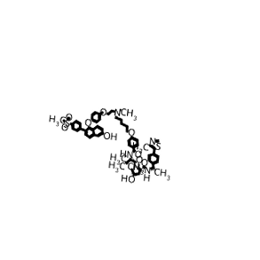 CCN(CCCCCOc1ccc(C(=O)N[C@H](C(=O)N2C[C@H](O)C[C@H]2C(=O)N[C@@H](C)c2ccc(-c3scnc3C)cc2)C(C)(C)C)cc1)CCOc1ccc(Oc2c(-c3ccc(S(C)(=O)=O)cc3)ccc3cc(O)ccc23)cc1